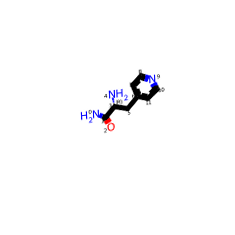 NC(=O)[C@H](N)Cc1ccncc1